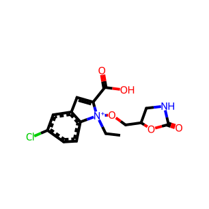 CC[N+]1(OCC2CNC(=O)O2)C(C(=O)O)=Cc2cc(Cl)ccc21